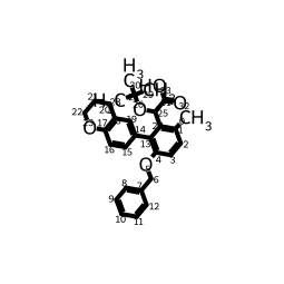 Cc1ccc(OCc2ccccc2)c(-c2ccc3c(c2)CCCO3)c1C(OC(C)(C)C)C(=O)O